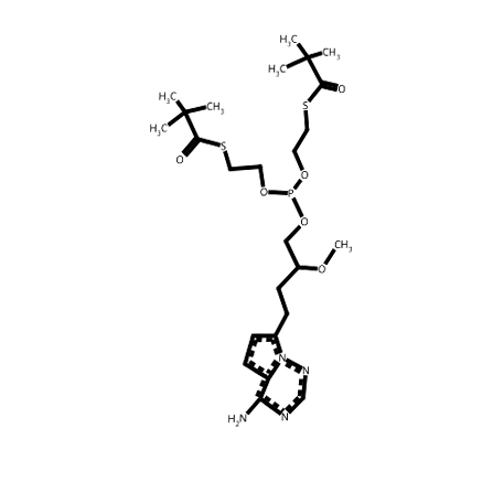 COC(CCc1ccc2c(N)ncnn12)COP(OCCSC(=O)C(C)(C)C)OCCSC(=O)C(C)(C)C